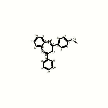 COc1ccc(C2=Nc3ccccc3N=C(c3ccccc3)C2)cc1